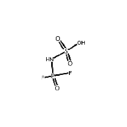 O=P(F)(F)NS(=O)(=O)O